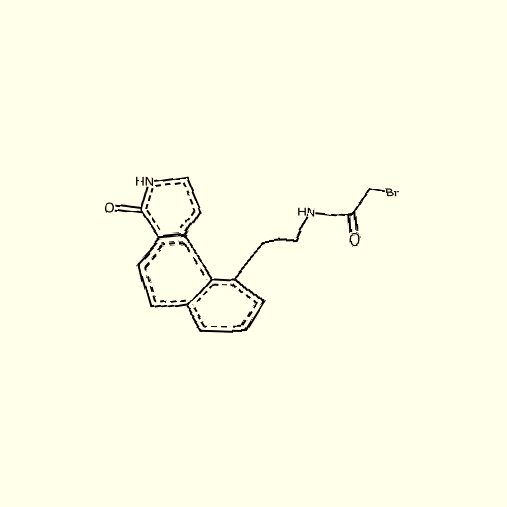 O=C(CBr)NCCc1cccc2ccc3c(=O)[nH]ccc3c12